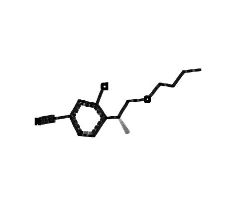 CCCCOC[C@H](C)c1ccc(C#N)cc1Cl